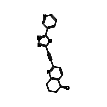 O=C1CCCc2nc(C#Cc3nnc(-c4cccnc4)o3)ccc21